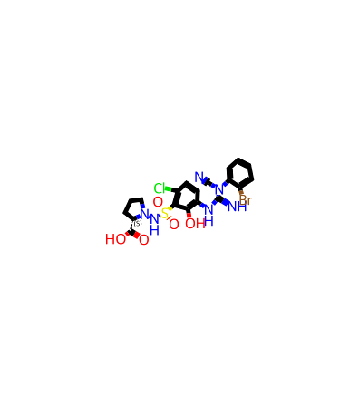 N#CN(C(=N)Nc1ccc(Cl)c(S(=O)(=O)NN2CCC[C@H]2C(=O)O)c1O)c1ccccc1Br